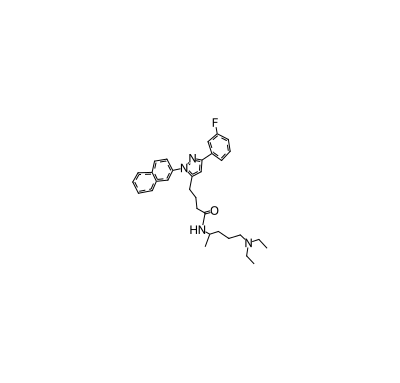 CCN(CC)CCCC(C)NC(=O)CCCc1cc(-c2cccc(F)c2)nn1-c1ccc2ccccc2c1